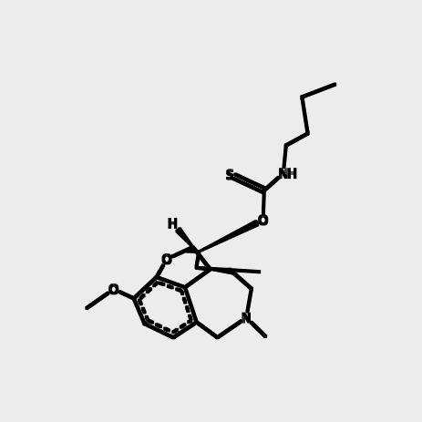 CCCCNC(=S)O[C@@H]1C[C@@H]2Oc3c(OC)ccc4c3[C@]2(CCN(C)C4)C1C